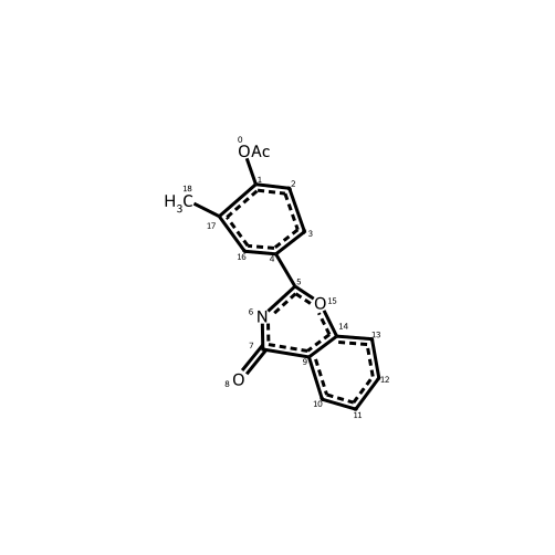 CC(=O)Oc1ccc(-c2nc(=O)c3ccccc3o2)cc1C